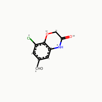 O=Cc1cc(Cl)c2c(c1)NC(=O)CO2